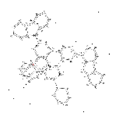 c1ccc(-c2nc(-c3ccccc3)nc(-c3cc(-c4cccc5c4oc4ccccc45)ccc3-c3cc(-n4c5ccccc5c5ccccc54)cc4c3sc3ccccc34)n2)cc1